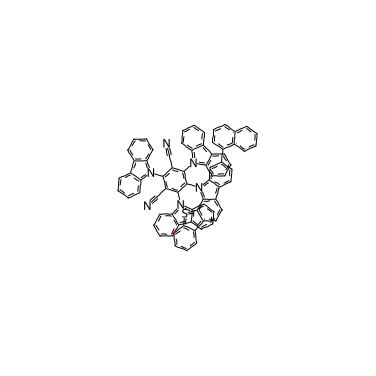 N#Cc1c(-n2c3ccccc3c3ccccc32)c(C#N)c(-n2c3ccccc3c3ccccc32)c(-n2c3cc(-c4cccc5ccccc45)ccc3c3ccc4c5ccccc5sc4c32)c1-n1c2ccccc2c2ccccc21